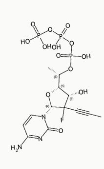 CC#CC1(F)[C@@H](O)[C@@H]([C@H](C)OP(=O)(O)OP(=O)(O)OP(=O)(O)O)O[C@H]1n1ccc(N)nc1=O